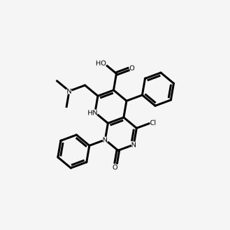 CN(C)CC1=C(C(=O)O)C(c2ccccc2)c2c(Cl)nc(=O)n(-c3ccccc3)c2N1